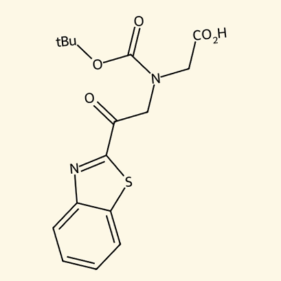 CC(C)(C)OC(=O)N(CC(=O)O)CC(=O)c1nc2ccccc2s1